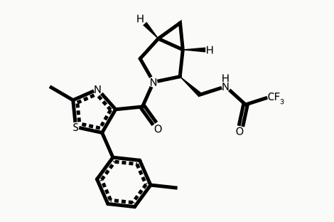 Cc1cccc(-c2sc(C)nc2C(=O)N2C[C@@H]3C[C@@H]3[C@H]2CNC(=O)C(F)(F)F)c1